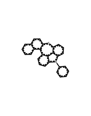 c1ccc(-n2c3cccc4sc5ccc6ccccc6c5c5cccc2c5c43)cc1